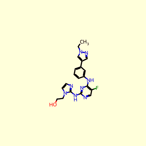 CCn1cc(-c2cccc(Nc3nc(Nc4nccn4CCO)ncc3F)c2)cn1